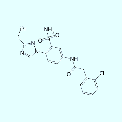 CC(C)Cc1ncn(-c2ccc(NC(=O)Cc3ccccc3Cl)cc2S(N)(=O)=O)n1